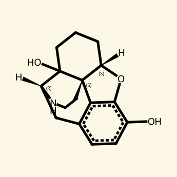 Oc1ccc2c3c1O[C@H]1CCCC4(O)[C@@H](C2)NCC[C@]314